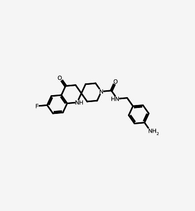 Nc1ccc(CNC(=O)N2CCC3(CC2)CC(=O)c2cc(F)ccc2N3)cc1